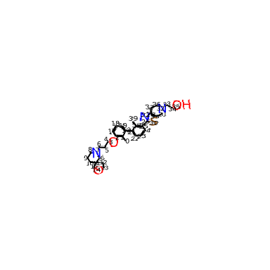 Cc1c(OCCCN2CCCC3(CCOC3)C2)cccc1-c1cccc(-c2nc3c(s2)CN(CCO)CC3)c1C